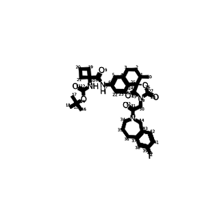 CC1CCc2cc(NC(=O)C3(NC(=O)OC(C)(C)C)CCC3)ccc2[C@@]12OC(=O)N(CC(=O)N1CCCc3cc(F)ccc3C1)C2=O